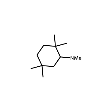 CNC1CC(C)(C)CCC1(C)C